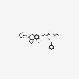 COc1c(OCCC(NC(=O)OCc2ccccc2)C(=O)OCC(O)CO)cc2c(c1OC)C1CCCC1/C(=N/NC1=NCCCN1)CC2